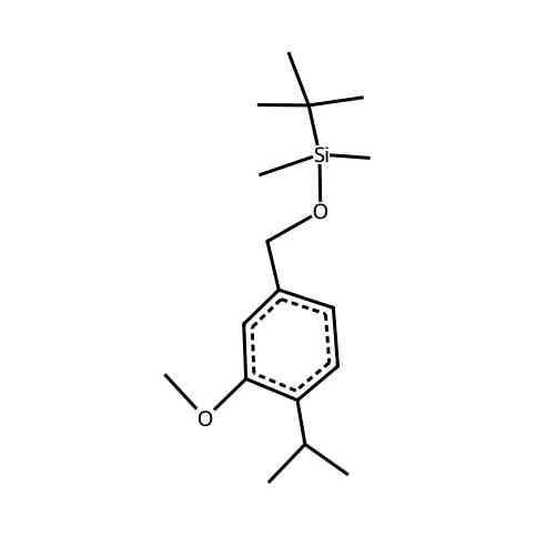 COc1cc(CO[Si](C)(C)C(C)(C)C)ccc1C(C)C